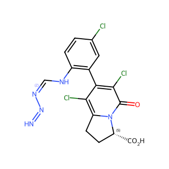 N=N/N=C\Nc1ccc(Cl)cc1-c1c(Cl)c2n(c(=O)c1Cl)[C@H](C(=O)O)CC2